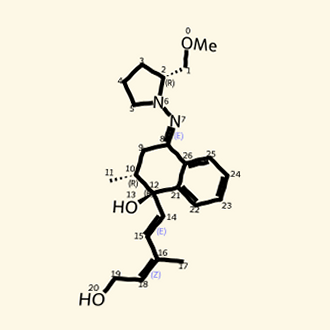 COC[C@H]1CCCN1/N=C1\C[C@@H](C)[C@@](O)(/C=C/C(C)=C\CO)c2ccccc21